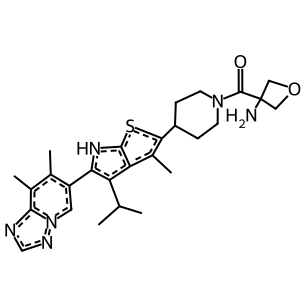 Cc1c(-c2[nH]c3sc(C4CCN(C(=O)C5(N)COC5)CC4)c(C)c3c2C(C)C)cn2ncnc2c1C